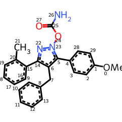 COc1ccc(-c2c(Cc3ccccc3)c(-c3ccccc3C)nn2OC(N)=O)cc1